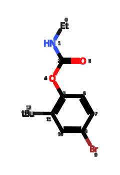 CCNC(=O)Oc1ccc(Br)cc1C(C)(C)C